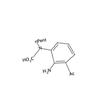 CCCCCN(C(=O)O)c1cccc(C(C)=O)c1N